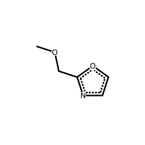 COCc1ncco1